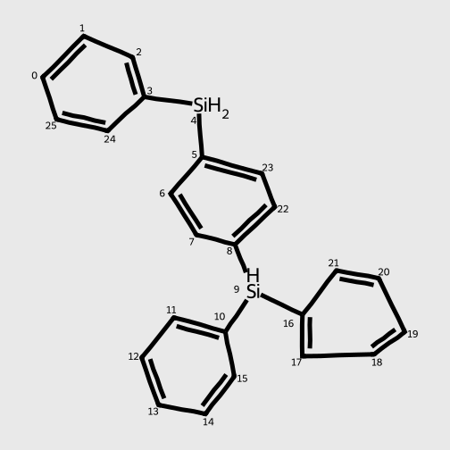 c1ccc([SiH2]c2ccc([SiH](c3ccccc3)c3ccccc3)cc2)cc1